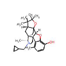 Cc1ccc(O)c2c1[C@]13CCN(CC4CC4)[C@H](C)[C@]14CCC1(OC(C)(C)C(C)(C)[C@H]1C4)[C@@H]3O2